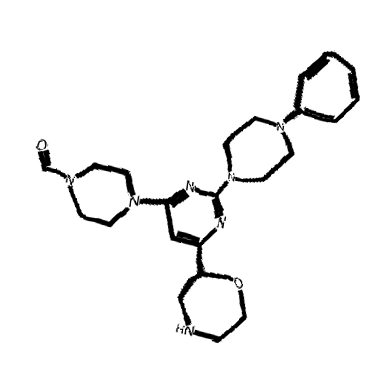 O=CN1CCN(c2cc(C3CNCCO3)nc(N3CCN(c4ccccc4)CC3)n2)CC1